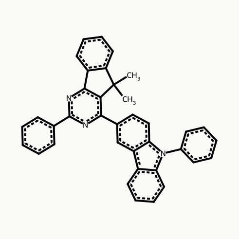 CC1(C)c2ccccc2-c2nc(-c3ccccc3)nc(-c3ccc4c(c3)c3ccccc3n4-c3ccccc3)c21